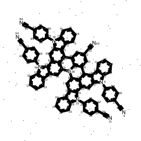 N#Cc1ccc(-n2c3ccccc3c3c4c5c(cc6c7ccccc7n(-c7ccc(C#N)cc7)c6c5cc32)B2c3c-4cc(C#N)cc3-c3c4c2cc2c5ccccc5n(-c5ccc(C#N)cc5)c2c4cc2c3c3ccccc3n2-c2ccc(C#N)cc2)cc1